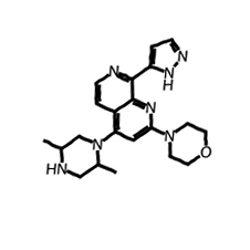 CC1CN(c2cc(N3CCOCC3)nc3c(-c4ccn[nH]4)nccc23)C(C)CN1